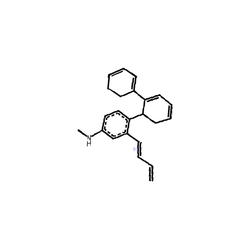 C=C/C=C/c1cc(NC)ccc1C1CC=CC=C1C1=CC=CCC1